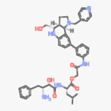 CC(C)C[C@H](NC(=O)[C@@H](O)[C@H](N)Cc1ccccc1)C(=O)OCC(=O)Nc1cccc(-c2ccc3c(c2)[C@H]2[C@H](CCN2Cc2ccncc2)[C@@H](CO)N3)c1